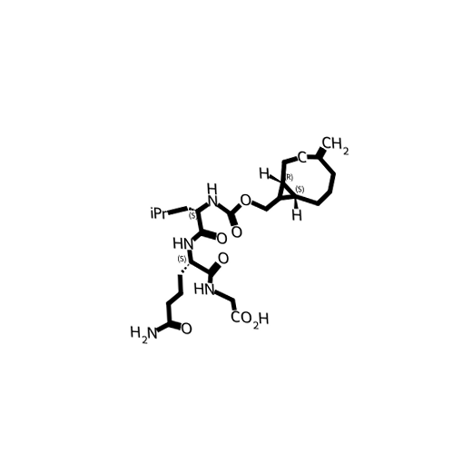 C=C1CCC[C@@H]2C(COC(=O)N[C@@H](CC(C)C)C(=O)N[C@@H](CCCC(N)=O)C(=O)NCC(=O)O)[C@@H]2CC1